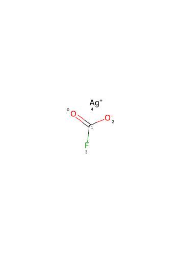 O=C([O-])F.[Ag+]